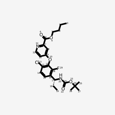 CCCCOC(=O)c1cc(Oc2c(Cl)ccc([C@@H](CC)NC(=O)OC(C)(C)C)c2F)ccn1